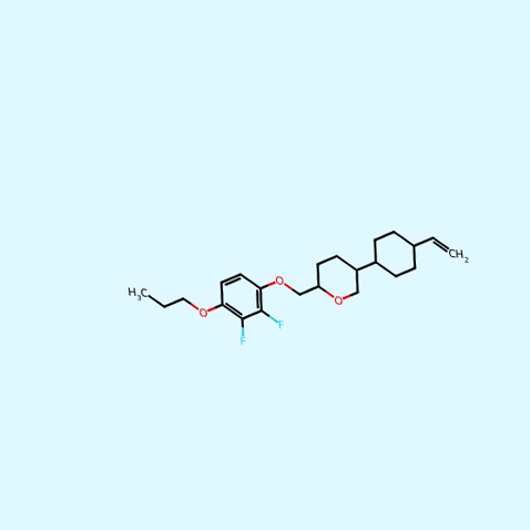 C=CC1CCC(C2CCC(COc3ccc(OCCC)c(F)c3F)OC2)CC1